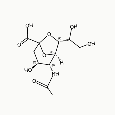 CC(=O)N[C@H]1[C@H]2OC(C(=O)O)(C[C@@H]1O)O[C@@H]2C(O)CO